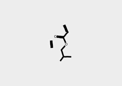 C=C.C=CC(=O)OCC(C)C